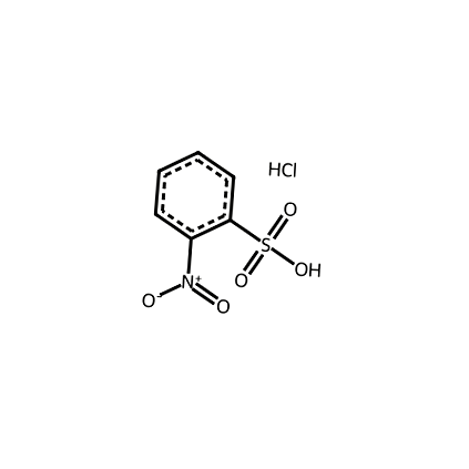 Cl.O=[N+]([O-])c1ccccc1S(=O)(=O)O